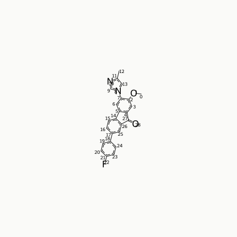 COc1cc2c(cc1-n1cnc(C)c1)-c1ccc(-c3ccc(F)cc3)cc1C2=O